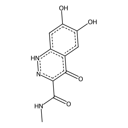 CNC(=O)c1n[nH]c2cc(O)c(O)cc2c1=O